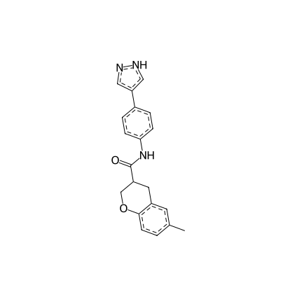 Cc1ccc2c(c1)CC(C(=O)Nc1ccc(-c3cn[nH]c3)cc1)CO2